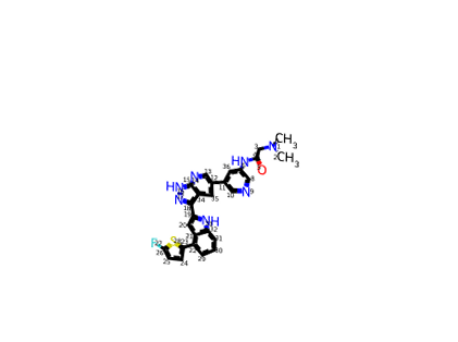 CN(C)CC(=O)Nc1cncc(-c2cnc3[nH]nc(-c4cc5c(-c6ccc(F)s6)cccc5[nH]4)c3c2)c1